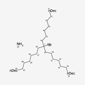 CCCCCCCCCCCCCCCCC(Br)(CCCCCCCCCCCCCCCC)CCCCCCCCCCCCCCCC.N